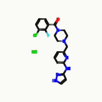 Cl.O=C(c1cccc(Cl)c1F)N1CCN(Cc2cccc(Nc3cc[nH]n3)n2)CC1